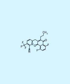 CCCC1=C(Cc2ccc(C(F)(F)F)c(C#N)n2)C(=O)c2c(F)ccc(F)c2C1=O